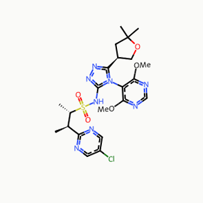 COc1ncnc(OC)c1-n1c(NS(=O)(=O)[C@@H](C)[C@H](C)c2ncc(Cl)cn2)nnc1[C@@H]1COC(C)(C)C1